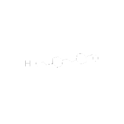 CCCC1CCC(CCC2CCC(C=O)CC2)CC1